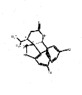 CC(C)[C@H]1CC(=O)NC(c2cccc(Cl)c2)[C@]12C(=O)Nc1cc(Cl)ccc12